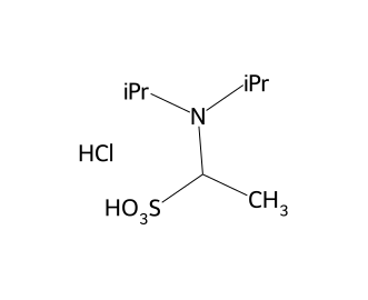 CC(C)N(C(C)C)C(C)S(=O)(=O)O.Cl